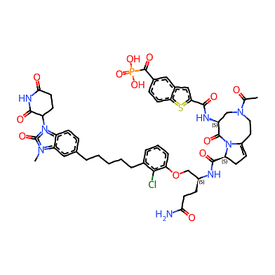 CC(=O)N1CCC2=CC[C@@H](C(=O)N[C@@H](CCC(N)=O)COc3cccc(CCCCCc4ccc5c(c4)n(C)c(=O)n5C4CCC(=O)NC4=O)c3Cl)N2C(=O)[C@@H](NC(=O)c2cc3cc(C(=O)P(=O)(O)O)ccc3s2)C1